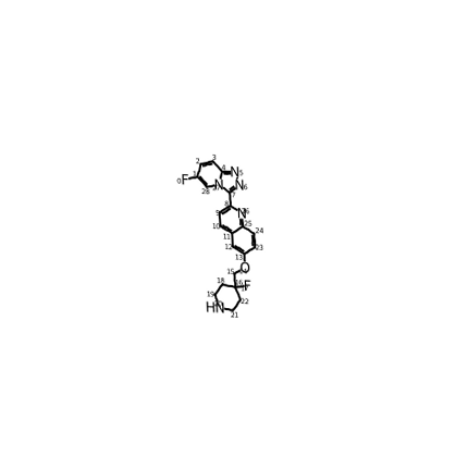 Fc1ccc2nnc(-c3ccc4cc(OCC5(F)CCNCC5)ccc4n3)n2c1